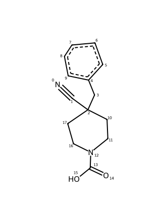 N#CC1(Cc2ccccc2)CCN(C(=O)O)CC1